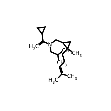 C=C(C1CC1)N(CC(C)C)CC1CC1(C)CCC=C(C)C